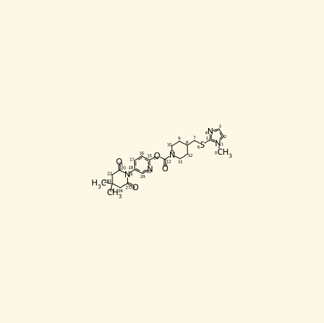 Cn1ccnc1SCC1CCN(C(=O)Oc2ccc(N3C(=O)CC(C)(C)CC3=O)cn2)CC1